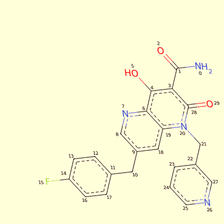 NC(=O)c1c(O)c2ncc(Cc3ccc(F)cc3)cc2n(Cc2cccnc2)c1=O